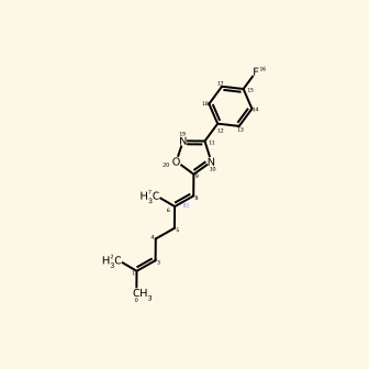 CC(C)=CCC/C(C)=C/c1nc(-c2ccc(F)cc2)no1